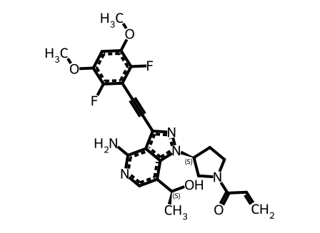 C=CC(=O)N1CC[C@H](n2nc(C#Cc3c(F)c(OC)cc(OC)c3F)c3c(N)ncc([C@H](C)O)c32)C1